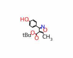 Cc1onc(-c2ccc(O)cc2)c1C(=O)OC(C)(C)C